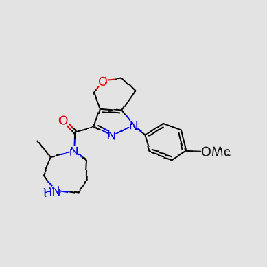 COc1ccc(-n2nc(C(=O)N3CCCNCC3C)c3c2CCOC3)cc1